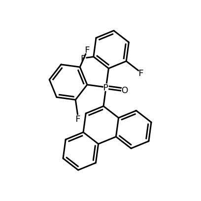 O=P(c1c(F)cccc1F)(c1c(F)cccc1F)c1cc2ccccc2c2ccccc12